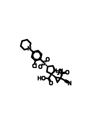 CO[C@H]1C[C@@H](S(=O)(=O)c2ccc(N3CCCCC3)cc2Cl)C[C@]1(C(=O)O)C1CC1(C#N)C(N)=O